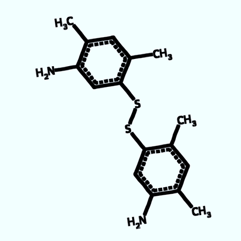 Cc1cc(C)c(SSc2cc(N)c(C)cc2C)cc1N